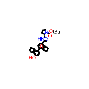 CC(C)(C)OC(=O)N1CCC[C@H]1c1ncc(-c2ccc(-c3ccc(O)c4c3C3CCC4C3)c3c2C2CCC3C2=O)[nH]1